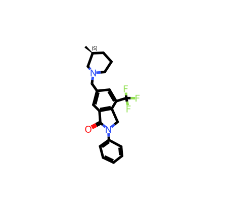 C[C@H]1CCCN(Cc2cc3c(c(C(F)(F)F)c2)CN(c2ccccc2)C3=O)C1